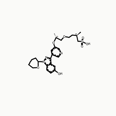 C[C@H](CCOC[C@@H](C)Oc1cncc(-c2nn(C3CCCCO3)c3ccc(O)cc23)c1)CS(=O)(=O)O